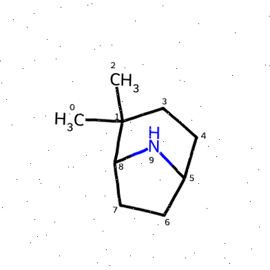 CC1(C)CCC2CCC1N2